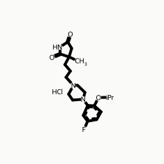 CC(C)Oc1ccc(F)cc1N1CCN(CCCC2(C)CC(=O)NC2=O)CC1.Cl